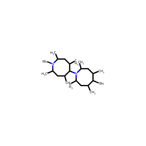 CC1CC(C)N(C(C)(C)C)C(C)CC(C)C1N1C(C)CC(C)C(C(C)(C)C)C(C)CC1C